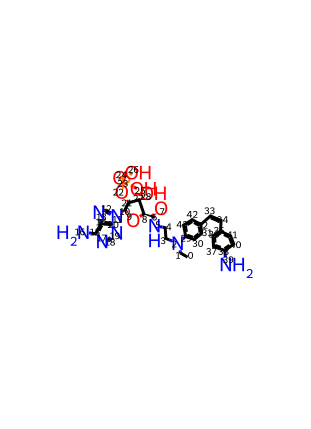 CCN(CCNC(=O)[C@H]1O[C@@H](n2cnc3c(N)ncnc32)[C@H](OP(=O)(O)O)[C@@H]1O)c1ccc(/C=C\c2ccc(N)cc2)cc1